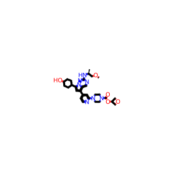 COC[C@H](C)Nc1ncc2c(-c3ccnc(N4CCN(C(=O)OC5COC5)CC4)c3)cc(C3CCC(O)CC3)n2n1